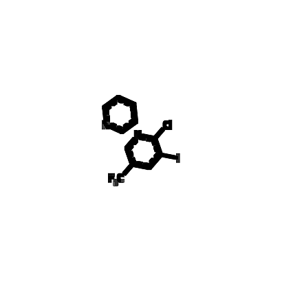 FC(F)(F)c1cnc(Cl)c(I)c1.c1ccncc1